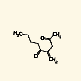 C=C(CC(C)=O)C(=O)CCCC